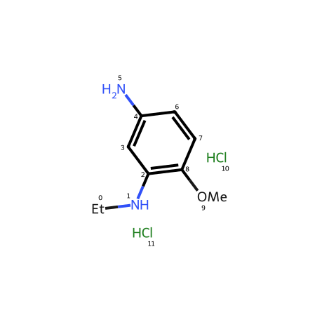 CCNc1cc(N)ccc1OC.Cl.Cl